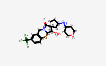 O=C1N2Cc3cc(C(F)(F)F)ccc3SC2[C@H](O)[C@@]12CC[C@@H](NC1CCOCC1)C2